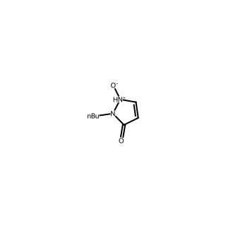 CCCCN1C(=O)C=C[NH+]1[O-]